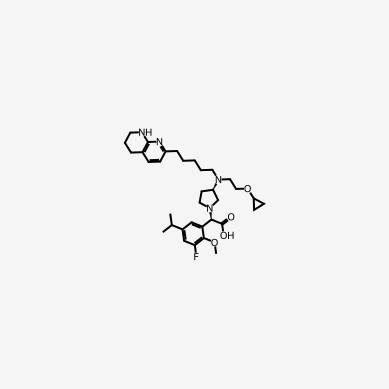 COc1c(F)cc(C(C)C)cc1[C@H](C(=O)O)N1CC[C@@H](N(CCCCCc2ccc3c(n2)NCCC3)CCOC2CC2)C1